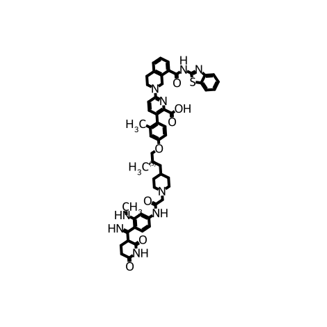 CNc1cc(NC(=O)CN2CCC(C[C@H](C)COc3ccc(-c4ccc(N5CCc6cccc(C(=O)Nc7nc8ccccc8s7)c6C5)nc4C(=O)O)c(C)c3)CC2)ccc1C(=N)C1CCC(=O)NC1=O